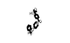 O=C(c1ccc(C2(O)COC2)cc1)N1CCC(Oc2ccccc2C(F)(F)F)CC1